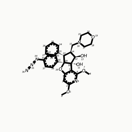 COc1cc2c(c(OC)n1)[C@]1(O)[C@H](O)[C@H](CN3CCOCC3)[C@@H](c3ccccc3)[C@]1(c1ccc(N=[N+]=[N-])cc1)O2